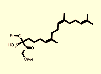 CCOC(CCCC=C(C)CCC=C(C)CCC=C(C)C)([PH](=O)COC)S(=O)(=O)O